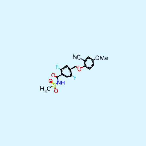 COc1ccc(OCc2cc(F)c(C(=O)NS(C)(=O)=O)cc2F)c(C#N)c1